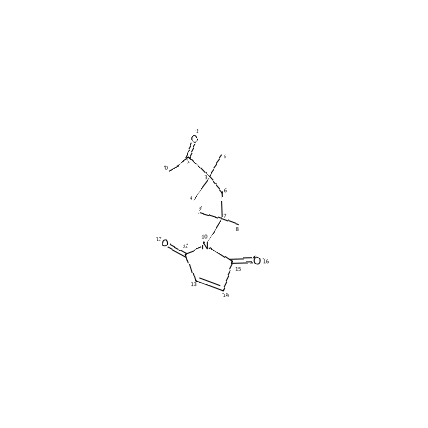 CC(=O)C(C)(C)CC(C)(C)N1C(=O)C=CC1=O